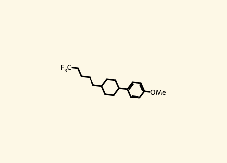 COc1ccc(C2CCC(CCCCC(F)(F)F)CC2)cc1